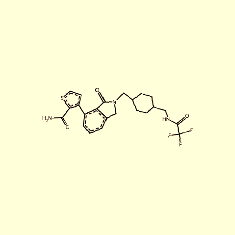 NC(=O)c1sccc1-c1cccc2c1C(=O)N(CC1CCC(CNC(=O)C(F)(F)F)CC1)C2